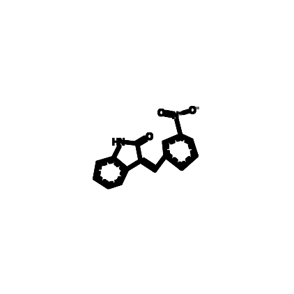 O=C1Nc2ccccc2/C1=C/c1cccc([N+](=O)[O-])c1